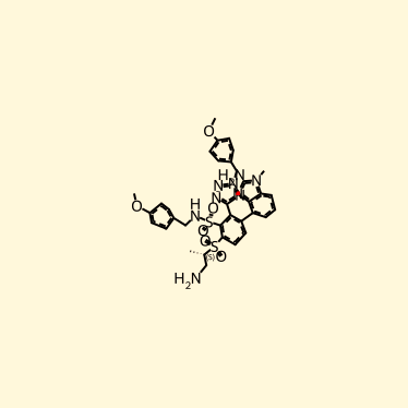 COc1ccc(CNS(=O)(=O)c2c(S(=O)(=O)[C@@H](C)CN)ccc(-c3cccc4c3nc(N)n4C)c2-c2nnn(Cc3ccc(OC)cc3)n2)cc1